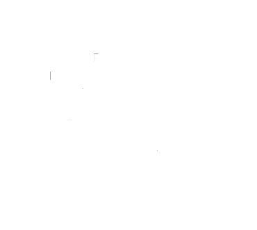 CC1C[C@H](C)[C@H](C)CC1C(F)(F)F